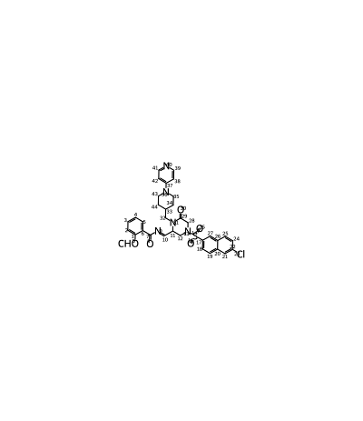 O=Cc1ccccc1C(=O)N=CC1CN(S(=O)(=O)c2ccc3cc(Cl)ccc3c2)CC(=O)N1CC1CCN(c2ccncc2)CC1